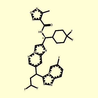 Cc1nonc1C(=O)N[C@H](c1cn2ncc(C(CC(F)F)c3nnc4ccc(F)cn34)cc2n1)C1CCC(F)(F)CC1